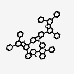 C=C(c1ccccc1)c1ccccc1/C(=C1/C=CC=CC1C)c1cccc(-n2c3cc(-c4cc(-c5ccccc5)cc5c4sc4c(-c6ccccc6)cc(-c6ccccc6)cc45)ccc3c3ccc(-c4cc(-c5ccccc5)cc5c4sc4c(-c6ccccc6)cc(C6C=CC=CC6)cc45)cc32)c1